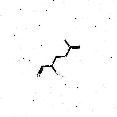 C=C(C)CCC(N)C=O